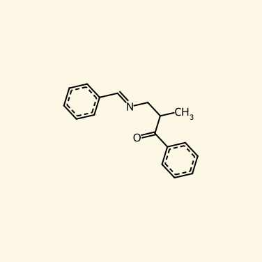 CC(CN=Cc1ccccc1)C(=O)c1ccccc1